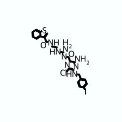 N/C(=N\C(=O)c1nc(Cl)c(NCc2ccc(I)cc2)nc1N)NCCNC(=O)c1csc2ccccc12